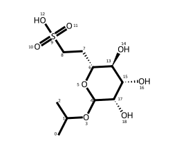 CC(C)OC1O[C@H](CCS(=O)(=O)O)[C@@H](O)[C@H](O)[C@@H]1O